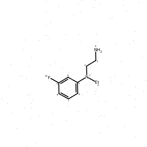 CCN(CCN)c1cccc(F)c1